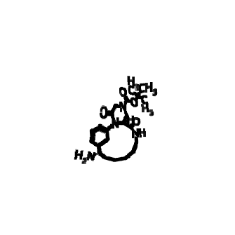 CC(C)(C)OC(=O)N1CC(=O)N2c3cccc(c3)[C@@H](N)CCCCCNC(=O)[C@H]2C1